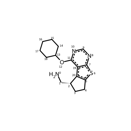 NC[C@H]1CCc2sc3ncnc(OC4CCCCC4)c3c21